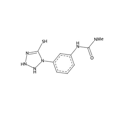 CNC(=O)Nc1cccc(N2NNN=C2S)c1